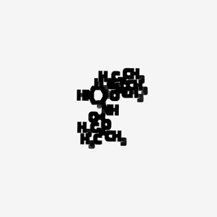 CC(C)(C)OC(=O)N[C@H]1CNCC[C@@H]1O[Si](C)(C)C(C)(C)C